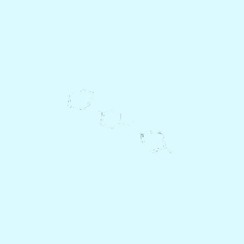 O=S(=O)(c1ccc(Cl)cc1)c1ccc(-c2ccccc2)cc1